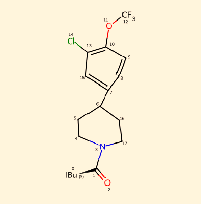 CC[C@H](C)C(=O)N1CCC(c2ccc(OC(F)(F)F)c(Cl)c2)CC1